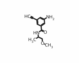 C#Cc1cc(N)cc(C(=O)NC(C)COC)c1